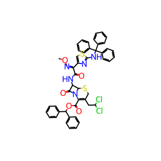 CON=C(C(=O)NC1C(=O)N2C(C(=O)OC(c3ccccc3)c3ccccc3)=C(CC(Cl)Cl)CSC12)c1csc(NC(c2ccccc2)(c2ccccc2)c2ccccc2)n1